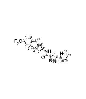 C[C@H](c1ccc(C(F)(F)F)cc1C(F)(F)F)n1cc(NC(=O)c2cc(-c3ccccn3)[nH]n2)cn1